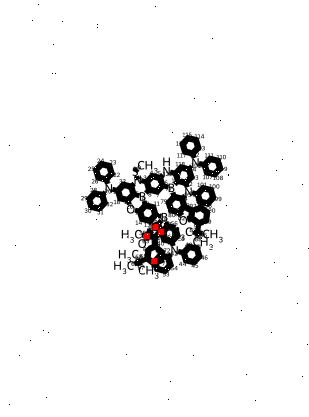 CSN1c2cc3c(cc2B2c4cc5c(cc4Oc4cc(N(c6ccccc6)c6ccccc6)cc1c42)N(SC)c1cc(N(c2ccccc2)c2ccccc2)cc2c1B5c1ccc4oc5c(C(C)(C)C)cccc5c4c1O2)B1c2ccc4oc5c(C(C)(C)C)cccc5c4c2N(c2ccccc2)c2cc(N(c4ccccc4)c4ccccc4)cc(c21)N3